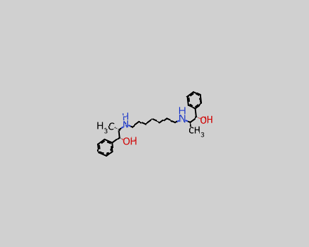 C[C@H](NCCCCCCCN[C@H](C)[C@@H](O)c1ccccc1)[C@H](O)c1ccccc1